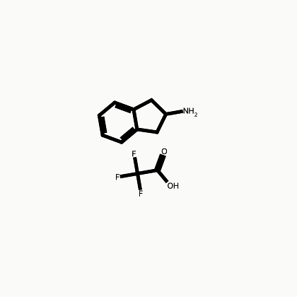 NC1Cc2ccccc2C1.O=C(O)C(F)(F)F